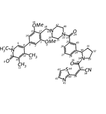 COc1cc(-c2cn(C)c(=O)c(C)c2C)cc(OC)c1CN1CCN(C(=O)c2cccc(C3CCCN3C(=O)/C(C#N)=C\c3nccs3)c2)CC1